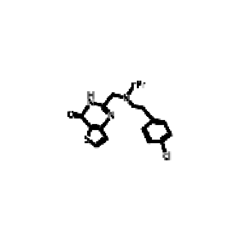 CCCN(CCc1ccc(Cl)cc1)Cc1nc2ccsc2c(=O)[nH]1